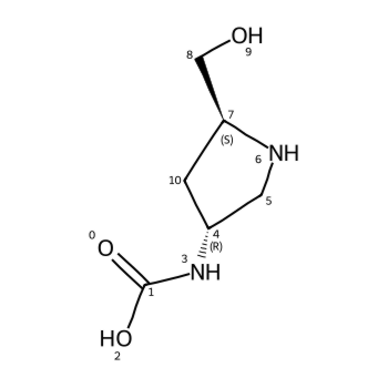 O=C(O)N[C@H]1CN[C@H](CO)C1